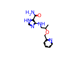 CC(CNc1nc[nH]c1C(N)=O)OCc1ccccn1